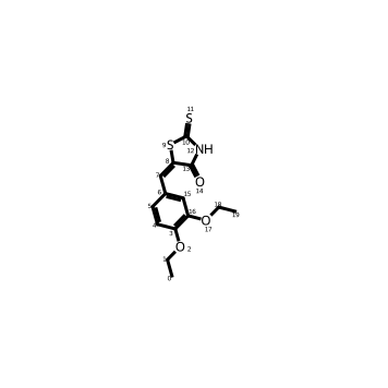 CCOc1ccc(C=C2SC(=S)NC2=O)cc1OCC